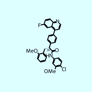 COc1cc(NC(=O)[C@H](Cc2ccccc2OC)c2ccc(-c3ccnc4ccc(F)cc34)cc2)ccc1Cl